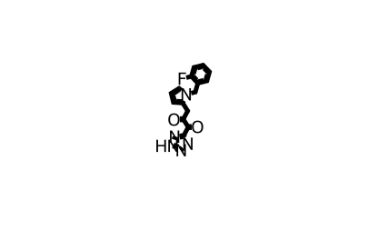 O=C(Cc1cccn1Cc1ccccc1F)C(=O)c1nn[nH]n1